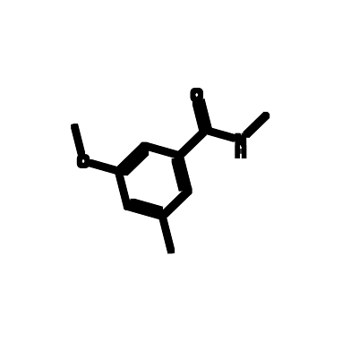 CNC(=O)c1cc(C)cc(OC)c1